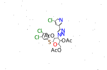 CC(=O)OCC1O[C@H](Sc2ccc(Cl)c(Cl)c2)C(OC(C)=O)C(n2cc(-c3cncc(Cl)c3)nn2)[C@H]1OC(C)=O